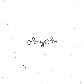 O=C(OCON=[N+]([O-])N1CCC(C(=O)O)CC1)c1ccccc1